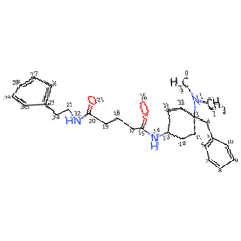 CN(C)C1(Cc2ccccc2)CCC(NC(=O)CCCC(=O)NCCc2ccccc2)CC1